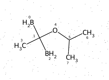 BC(B)(C)OC(C)C